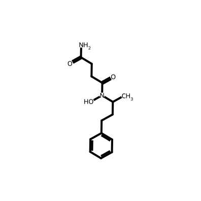 CC(CCc1ccccc1)N(O)C(=O)CCC(N)=O